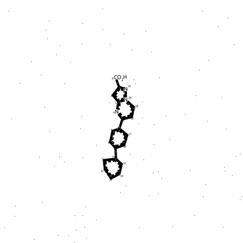 O=C(O)c1cc2nc(-c3ccc(-c4ccccc4)cc3)ccn2n1